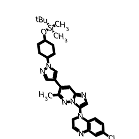 Cc1nn2c(N3CC=Nc4cc(Cl)ccc43)cnc2cc1-c1cnn(C2CCC(O[Si](C)(C)C(C)(C)C)CC2)c1